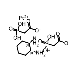 N[C@@H]1CCCC[C@H]1N.O=C([O-])CP(=O)(O)O.O=C([O-])CP(=O)(O)O.[Pt+2]